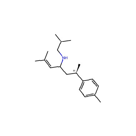 CC(C)=CC(C[C@@H](C)c1ccc(C)cc1)NCC(C)C